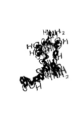 N=C(N)NCCC[C@@H](CC(=O)CC[C@@H](NC(=O)c1ccc(NCc2cnc3nc(N)[nH]c(=O)c3n2)cc1)C(=O)O)C(=O)N[C@H](CC(=O)O)C(=O)N[C@H](CSSCCC(=O)Nc1ccc2[nH]c(C(=O)Nc3ccc4[nH]c(C(=O)N5CC6CC67C5=CC(=O)c5ccccc57)cc4c3)cc2c1)C(=O)O